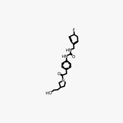 O=C(NCC1=CCC(F)C=C1)Nc1ccc(CC(=O)N2CCC(CCO)C2)cc1